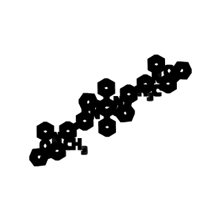 Cc1ccc2c(oc3ccccc32)c1N(c1ccccc1)c1ccc(-c2ccc3c(c2)c2cccc4c5c(-c6ccccc6)c6c(c(-c7ccccc7)c5n3c24)c2cccc3c4cc(-c5ccc(N(c7ccccc7)c7c(C)ccc8c7oc7ccccc78)cc5)ccc4n6c32)cc1